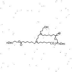 CCCCCCCCCCCCOC(=O)CCCCCCN(CCCCCCC(=O)O)CCCN(CCCO)CCCCCCC(=C=O)OCCCCCCCCCCCC